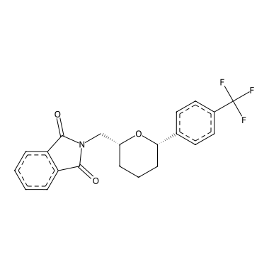 O=C1c2ccccc2C(=O)N1C[C@H]1CCC[C@@H](c2ccc(C(F)(F)F)cc2)O1